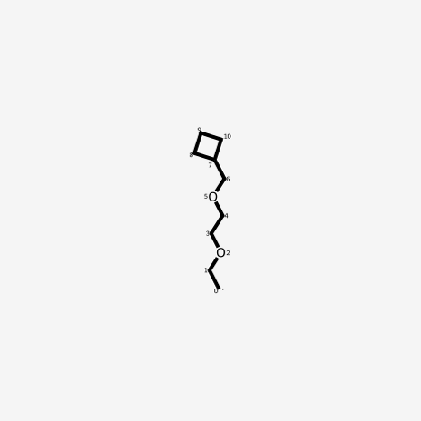 [CH2]COCCOCC1CCC1